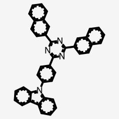 c1ccc2cc(-c3nc(-c4ccc(-n5c6ccccc6c6ccccc65)cc4)nc(-c4ccc5ccccc5c4)n3)ccc2c1